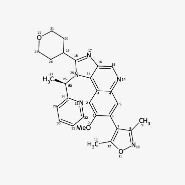 COc1cc2c(cc1-c1c(C)noc1C)ncc1nc(C3CCOCC3)n([C@H](C)c3ccccn3)c12